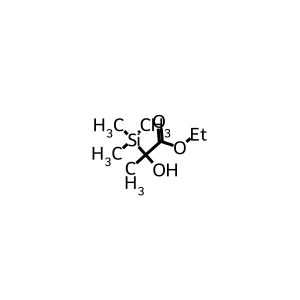 CCOC(=O)C(C)(O)[Si](C)(C)C